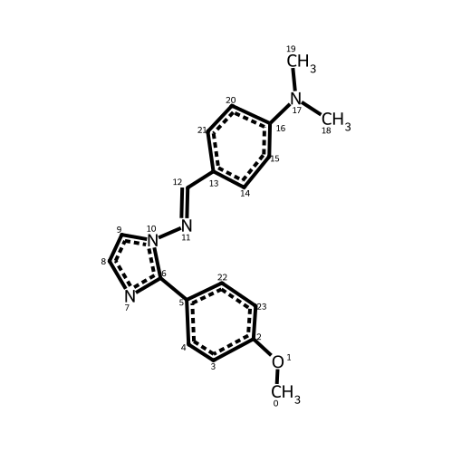 COc1ccc(-c2nccn2N=Cc2ccc(N(C)C)cc2)cc1